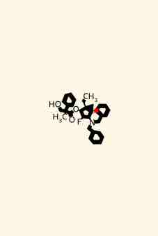 CC[C@@]12C[C@@H]1[C@@H](N(Cc1ccccc1)Cc1ccccc1)[C@@H](F)[C@@H]2OC(=O)[C@](C)(CO)c1ccccc1